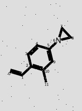 C=Cc1ccc(N2CC2)cc1C